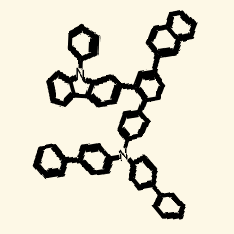 c1ccc(-c2ccc(N(c3ccc(-c4ccccc4)cc3)c3ccc(-c4ccc(-c5ccc6ccccc6c5)cc4-c4ccc5c6ccccc6n(-c6ccccc6)c5c4)cc3)cc2)cc1